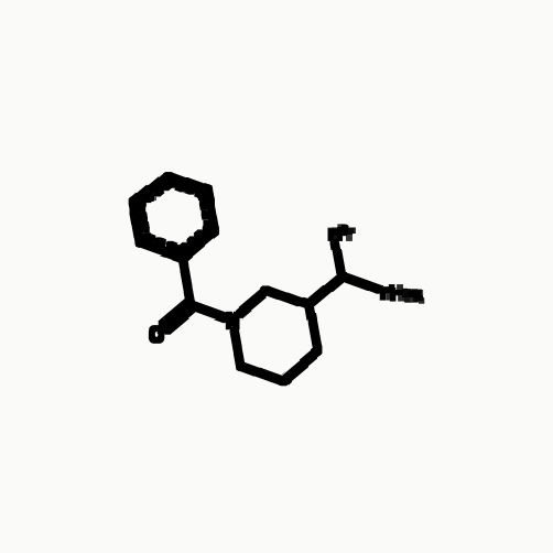 CCCCCCC(CCC)C1CCCN(C(=O)c2ccccc2)C1